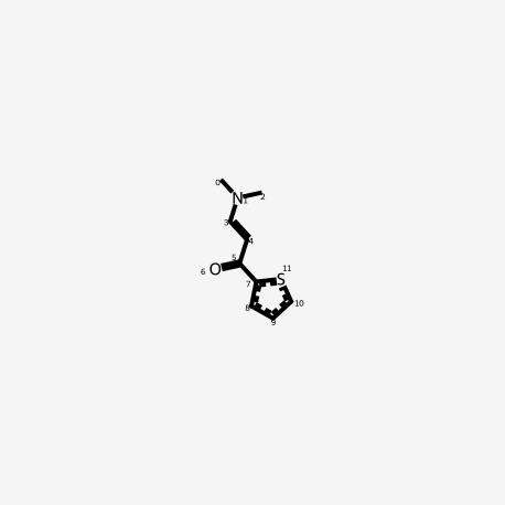 CN(C)C=CC(=O)c1cccs1